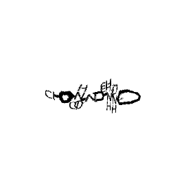 O=C(NCC1CCN(C(=O)Nc2ccc(Cl)cc2Cl)CC1)N[C]1CCCCCCC1.[CH2].[CH2]